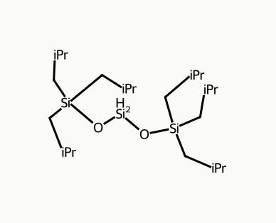 CC(C)C[Si](CC(C)C)(CC(C)C)O[SiH2]O[Si](CC(C)C)(CC(C)C)CC(C)C